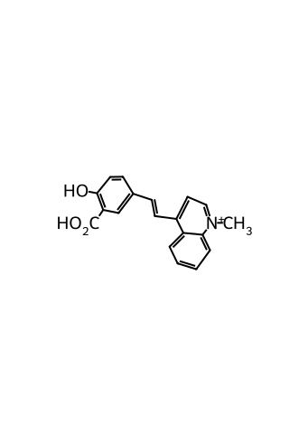 C[n+]1ccc(/C=C/c2ccc(O)c(C(=O)O)c2)c2ccccc21